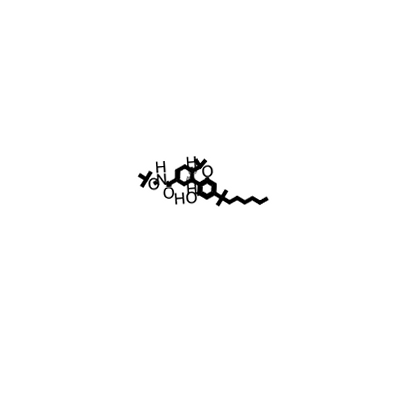 CCCCCCC(C)(C)c1cc(O)c2c(c1)OC(C)(C)[C@@H]1CC=C(C(=O)NOC(C)(C)C)C[C@@H]21